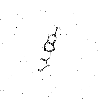 NNC(=O)Cc1ccc2nc(N)sc2c1